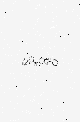 CC(C)(C)OC(=O)Nc1ccc2[nH]c(-c3ccccc3)nc2c1